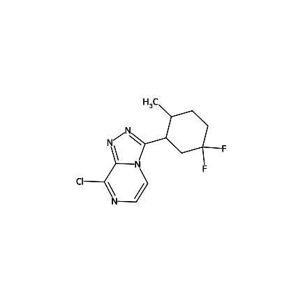 CC1CCC(F)(F)CC1c1nnc2c(Cl)nccn12